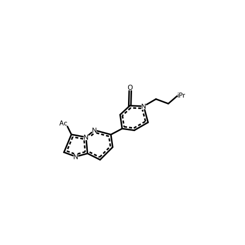 CC(=O)c1cnc2ccc(-c3ccn(CCC(C)C)c(=O)c3)nn12